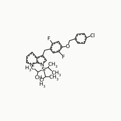 CC(C)[Si](C(C)C)(C(C)C)n1cc(Cc2cc(F)c(OCc3ccc(Cl)cc3)cc2F)c2cccnc21